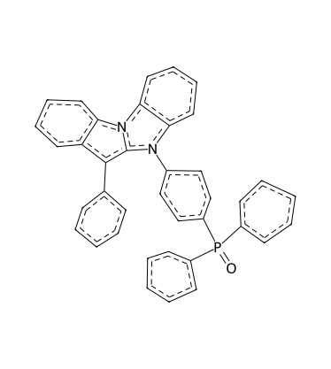 O=P(c1ccccc1)(c1ccccc1)c1ccc(-n2c3ccccc3n3c4ccccc4c(-c4ccccc4)c23)cc1